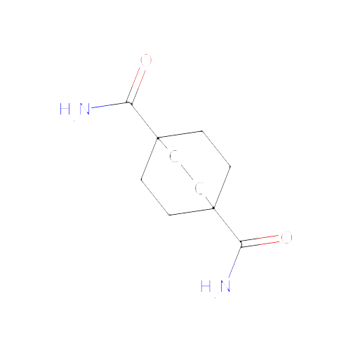 NC(=O)C12CCC(C(N)=O)(CC1)CC2